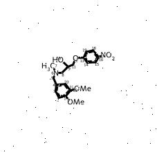 COc1ccc(CN(C)CC(O)COc2ccc([N+](=O)[O-])cc2)cc1OC